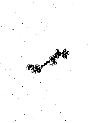 CCn1cc(-c2cc(OC)c(CN3CC(C(OC=O)C(=O)NCCCCCCCCNc4cccc5c4C(=O)N(C4CCC(=O)NC4=O)C5=O)C3)c(OC)c2)c2ccncc2c1=O